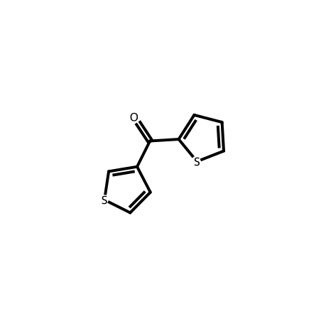 O=C(c1ccsc1)c1cccs1